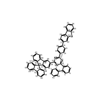 c1ccc(-c2ccccc2-c2nc(-c3ccc(-c4ccc5c(c4)sc4ccccc45)cc3)nc(-c3ccc4c(c3)-c3ccccc3C43c4ccccc4-c4ccccc43)n2)cc1